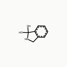 OC1(O)NCc2ccccc21